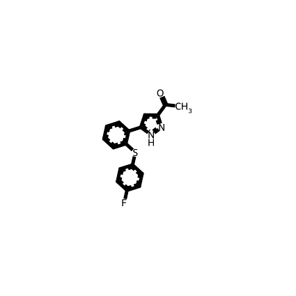 CC(=O)c1cc(-c2ccccc2Sc2ccc(F)cc2)[nH]n1